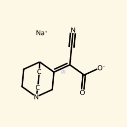 N#C/C(C(=O)[O-])=C1/CN2CCC1CC2.[Na+]